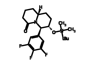 CC(C)(C)[Si](C)(C)O[C@H]1CC[C@H]2CCCC(=O)N2[C@@H]1c1cc(F)c(F)c(F)c1